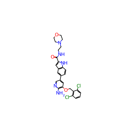 Nc1ncc(-c2ccc3[nH]c(C(=O)NCCN4CCOCC4)cc3c2)cc1OCc1c(Cl)cccc1Cl